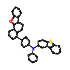 c1ccc(N(c2ccc(-c3cccc4c3ccc3c5ccccc5oc43)cc2)c2ccc3sc4ccccc4c3c2)cc1